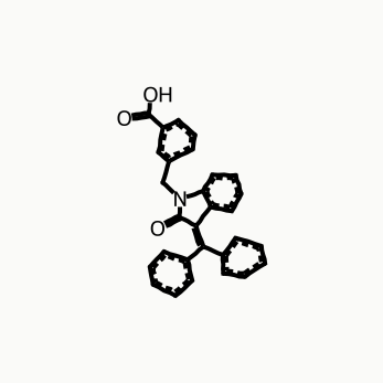 O=C(O)c1cccc(CN2C(=O)C(=C(c3ccccc3)c3ccccc3)c3ccccc32)c1